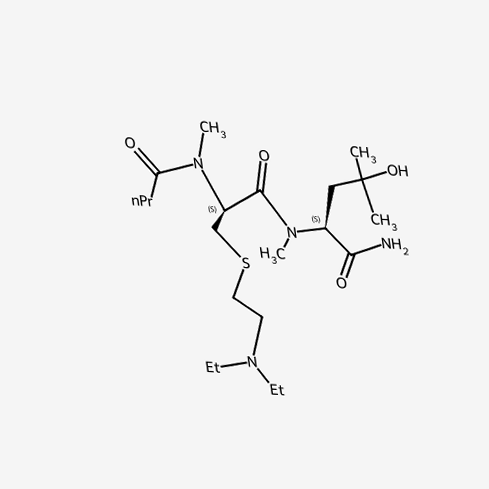 CCCC(=O)N(C)[C@H](CSCCN(CC)CC)C(=O)N(C)[C@@H](CC(C)(C)O)C(N)=O